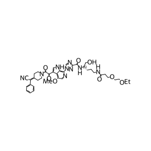 CCOCCOCCC(=O)NCCC[C@@H](CO)NC(=O)c1ncn(-c2ncc(OC)c3c(C(=O)C(=O)N4CCC(=C(C#N)c5ccccc5)CC4)c[nH]c23)n1